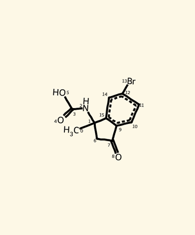 CC1(NC(=O)O)CC(=O)c2ccc(Br)cc21